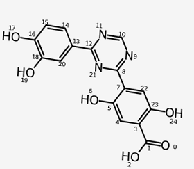 O=C(O)c1cc(O)c(-c2ncnc(-c3ccc(O)c(O)c3)n2)cc1O